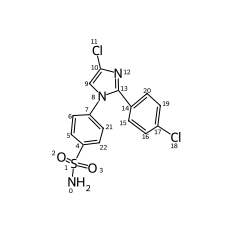 NS(=O)(=O)c1ccc(-n2cc(Cl)nc2-c2ccc(Cl)cc2)cc1